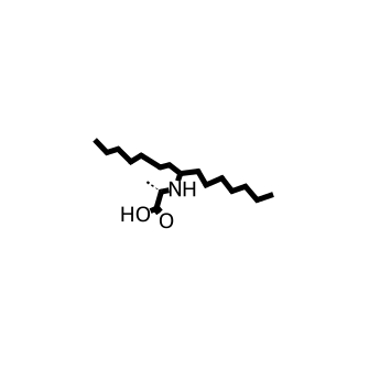 CCCCCCCC(CCCCCCC)N[C@@H](C)C(=O)O